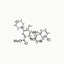 COC(=O)c1cc(N2CCOCC2)c(F)c(Nc2ccnc3c(Cl)cccc23)c1[N+](=O)[O-]